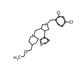 CCOCC1CCN(CC2CN(Cc3ccc(Cl)cc3Cl)CC2c2ccsc2)CC1